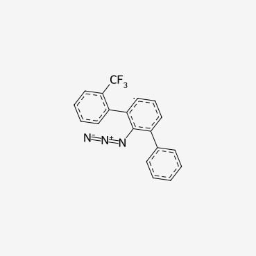 [N-]=[N+]=Nc1c(-c2ccccc2C(F)(F)F)[c]ccc1-c1ccccc1